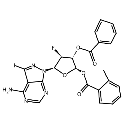 Cc1ccccc1C(=O)O[C@H]1O[C@@H](n2nc(I)c3c(N)ncnc32)[C@@H](F)[C@@H]1OC(=O)c1ccccc1